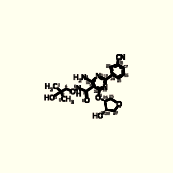 CC(C)(O)CONC(=O)c1c(N)nc(-c2cccc(C#N)c2)nc1O[C@@H]1COC[C@@H]1O